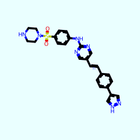 O=S(=O)(c1ccc(Nc2ncc(/C=C/c3ccc(-c4cn[nH]c4)cc3)cn2)cc1)N1CCNCC1